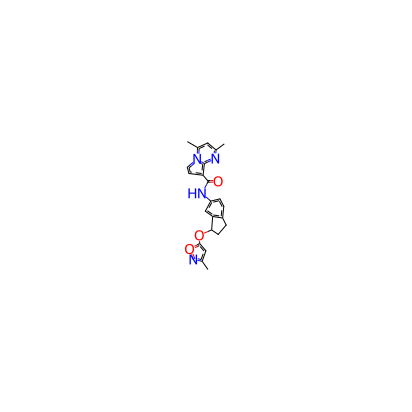 Cc1cc(OC2CCc3ccc(NC(=O)c4ccn5c(C)cc(C)nc45)cc32)on1